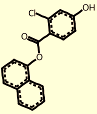 O=C(Oc1cccc2ccccc12)c1ccc(O)cc1Cl